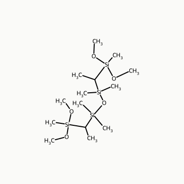 CO[Si](C)(OC)C(C)[Si](C)(C)O[Si](C)(C)C(C)[Si](C)(OC)OC